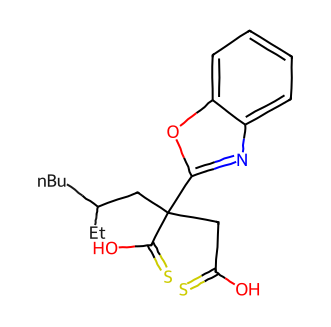 CCCCC(CC)CC(CC(O)=S)(C(O)=S)c1nc2ccccc2o1